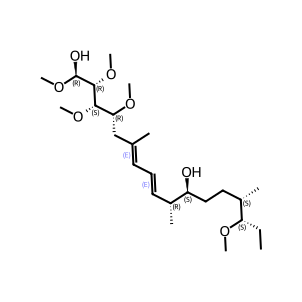 CC[C@H](OC)[C@@H](C)CC[C@H](O)[C@H](C)/C=C/C=C(\C)C[C@@H](OC)[C@H](OC)[C@@H](OC)[C@H](O)OC